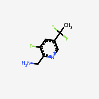 CC(F)(F)c1cnc(CN)c(F)c1